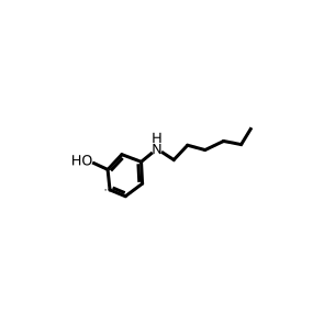 CCCCCCNc1cc[c]c(O)c1